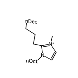 CCCCCCCCCCCCCc1n(CCCCCCCC)cc[n+]1C